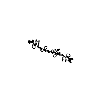 CC=C(C)C(=O)NCCOC(=O)CCCCCC(NCC)C(=O)OCCNC(=O)C(C)=CC